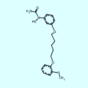 COc1ccccc1OCCCCCOc1cccc(N(S)C(N)=O)c1